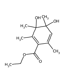 CCOC(=O)C1=C(C)C(C)(O)C(C)(O)C=C1C